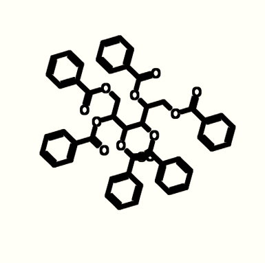 O=C(OCC(OC(=O)c1ccccc1)C(OC(=O)c1ccccc1)C(OC(=O)c1ccccc1)C(COC(=O)c1ccccc1)OC(=O)c1ccccc1)c1ccccc1